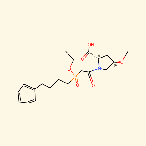 CCOP(=O)(CCCCc1ccccc1)CC(=O)N1C[C@H](OC)C[C@H]1C(=O)O